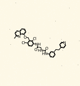 Cc1ccc2cccc(OCc3c(Cl)ccc(NC(=O)CNC(=O)Nc4cccc(CCc5ccncc5)c4)c3Cl)c2n1